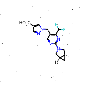 O=C(O)c1cnn(Cc2cnc(N3CC4C[C@H]4C3)nc2C(F)F)c1